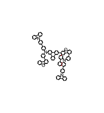 c1ccc(-c2ccccc2N(c2ccc(-c3ccc(-n4c5ccccc5c5ccccc54)cc3)cc2)c2cccc(-c3cccc4oc5cc(-c6ccc7c8ccc(N(c9ccc(-c%10ccc(-n%11c%12ccccc%12c%12ccccc%12%11)cc%10)cc9)c9cccc(-c%10cccc%11oc%12ccccc%12c%10%11)c9)cc8c8ccccc8c7c6)ccc5c34)c2)cc1